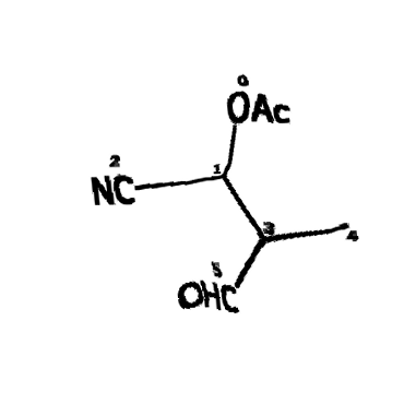 CC(=O)OC(C#N)C(C)C=O